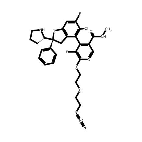 CNC(=O)c1cnc(OCCOCCN=[N+]=[N-])c(F)c1-c1c(Cl)c(F)cc2c1C[C@](c1ccccc1)([C@@H]1CCCN1)O2